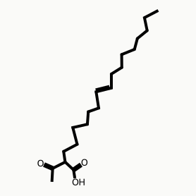 CCCCCCCC/C=C/CCCCCCC(C(C)=O)C(=O)O